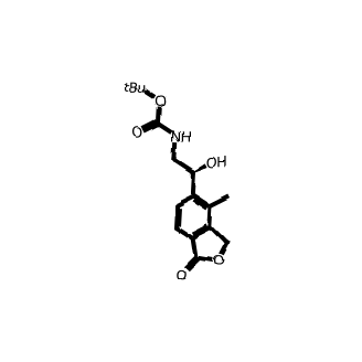 Cc1c([C@H](O)CNC(=O)OC(C)(C)C)ccc2c1COC2=O